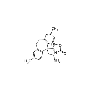 Cc1ccc2c(c1)CCc1cc(C)ccc1C2(CCN)c1nc(=O)o[nH]1